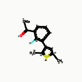 COC(=O)c1cccc(-c2cc(C)sc2C)c1F